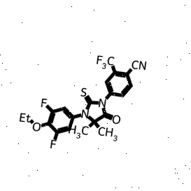 CCOc1c(F)cc(N2C(=S)N(c3ccc(C#N)c(C(F)(F)F)c3)C(=O)C2(C)C)cc1F